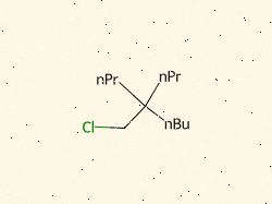 CCCCC(CCl)(CCC)CCC